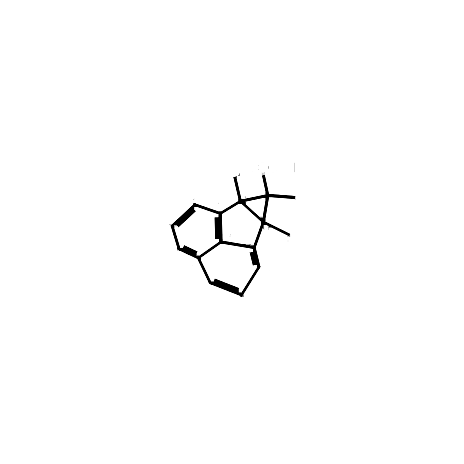 CC1(C(=O)O)C2(C)c3cccc4cccc(c34)C12C